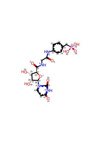 O=C(CNC(=O)[C@H]1O[C@@H](n2ccc(=O)[nH]c2=O)[C@H](O)[C@@H]1O)Nc1ccc(CP(=O)(O)O)cc1